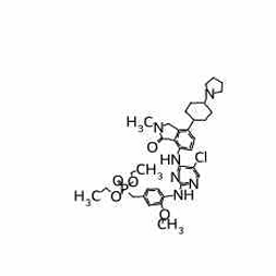 CCOP(=O)(Cc1ccc(Nc2ncc(Cl)c(Nc3ccc(C4CCC(N5CCCC5)CC4)c4c3C(=O)N(C)C4)n2)c(OC)c1)OCC